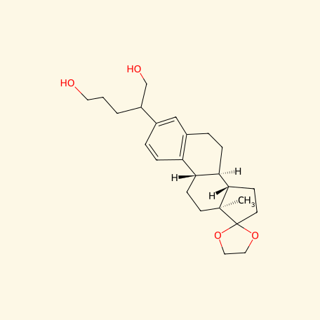 C[C@]12CC[C@@H]3c4ccc(C(CO)CCCO)cc4CC[C@H]3[C@@H]1CCC21OCCO1